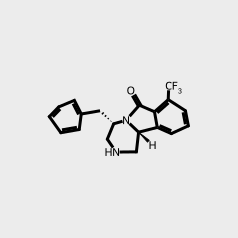 O=C1c2c(cccc2C(F)(F)F)[C@@H]2CNC[C@H](Cc3ccccc3)N12